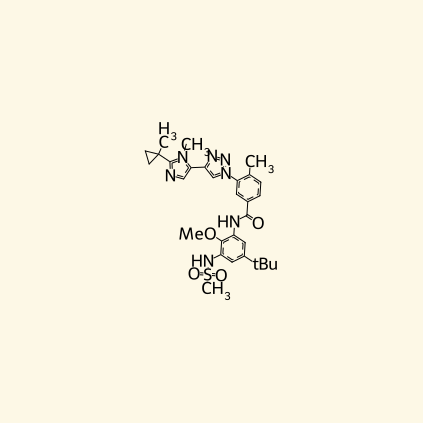 COc1c(NC(=O)c2ccc(C)c(-n3cc(-c4cnc(C5(C)CC5)n4C)nn3)c2)cc(C(C)(C)C)cc1NS(C)(=O)=O